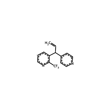 C=CC(c1ccncc1)c1c[c]cnc1C(F)(F)F